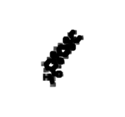 CCN(CC)S(=O)(=O)c1ccc(S(=O)(=O)N2CCCC(C(=O)NC)C2)cc1